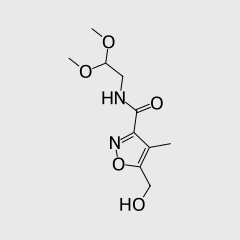 COC(CNC(=O)c1noc(CO)c1C)OC